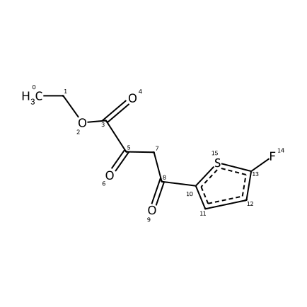 CCOC(=O)C(=O)CC(=O)c1ccc(F)s1